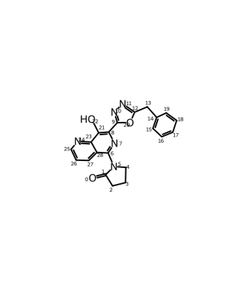 O=C1CCCN1c1nc(-c2nnc(Cc3ccccc3)o2)c(O)c2ncccc12